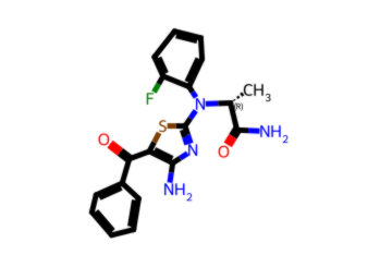 C[C@H](C(N)=O)N(c1nc(N)c(C(=O)c2ccccc2)s1)c1ccccc1F